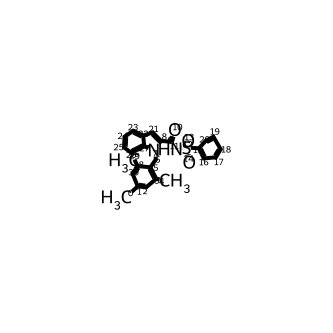 Cc1cc(C)c(Cn2c(C(=O)NS(=O)(=O)c3ccccc3)cc3ccccc32)c(C)c1